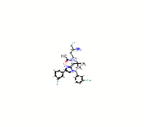 CC(=O)N(CC[C@H](N)CF)[C@@H](c1nc(-c2cccc(F)c2)cn1Cc1cccc(F)c1)C(C)(C)C